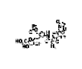 CC(C)C(=O)OCc1ccc(NC(=O)[C@H](C)NC(=O)[C@@H](NC(=O)CN2C(=O)C=CC2=O)C(C)C)cc1CC[C@@H]1O[C@H](C(=O)O)[C@@H](O)C[C@H]1O